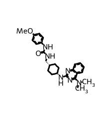 COc1ccc(NC(=O)NC[C@H]2CC[C@@H](Nc3nc(N(C)C)c4ccccc4n3)CC2)cc1